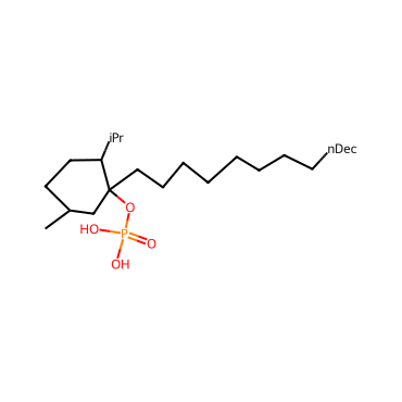 CCCCCCCCCCCCCCCCCCC1(OP(=O)(O)O)CC(C)CCC1C(C)C